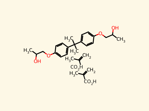 C=C(C)C(=O)O.C=C(C)C(=O)O.CC(O)COc1ccc(C(C)(C)c2ccc(OCC(C)O)cc2)cc1